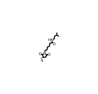 CSC1CC(=O)N(CCCCCC(=O)NCCC(C)C)C1=O